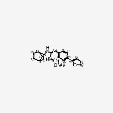 COc1cc(/N=C(\NC#N)NC2CC3CCC2C3)ccc1-c1cnco1